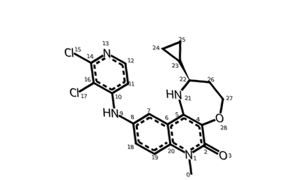 Cn1c(=O)c2c(c3cc(Nc4ccnc(Cl)c4Cl)ccc31)N[C@@H](C1CC1)CCO2